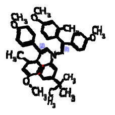 COc1ccc(/C(=C/N(/C=C(/c2ccc(OC)cc2)c2ccc(OC)cc2C)c2cccc(C(C)(C)C)c2)c2ccc(OC)cc2C)cc1